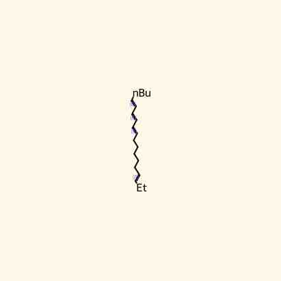 CC/C=C/CCCCC/C=C/C=C/C=C/CCCC